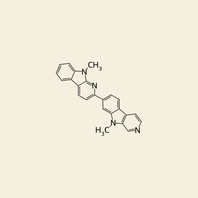 Cn1c2cnccc2c2ccc(-c3ccc4c5ccccc5n(C)c4n3)cc21